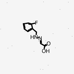 O=C(O)/C=N/NCc1ccccc1F